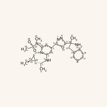 CC(Nc1cc(-c2nnc(C(C)(N)Cc3ccccc3)o2)cc(N(C)S(C)(=O)=O)n1)[C@H]1C[C@@H]1C